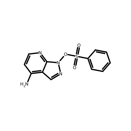 Nc1ccnc2c1cnn2OS(=O)(=O)c1ccccc1